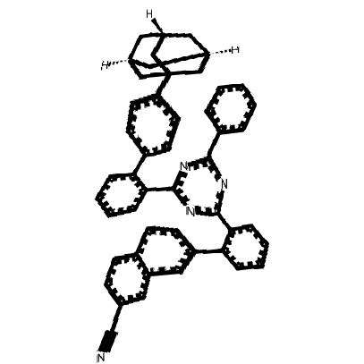 N#Cc1ccc2ccc(-c3ccccc3-c3nc(-c4ccccc4)nc(-c4ccccc4-c4ccc(C56C[C@H]7C[C@@H](C5)C[C@@H](C6)C7)cc4)n3)cc2c1